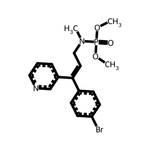 COP(=O)(OC)N(C)CC=C(c1ccc(Br)cc1)c1cccnc1